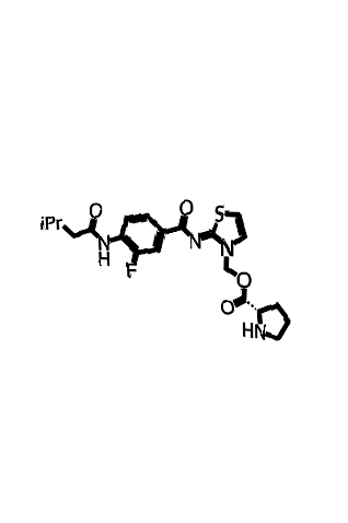 CC(C)CC(=O)Nc1ccc(C(=O)N=c2sccn2COC(=O)[C@@H]2CCCN2)cc1F